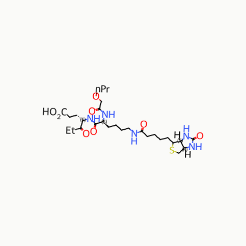 CCCOCC(=O)N[C@@H](CCCCNC(=O)CCCCC1SC[C@@H]2NC(=O)N[C@H]12)C(=O)N[C@@H](CCC(=O)O)C(=O)CC